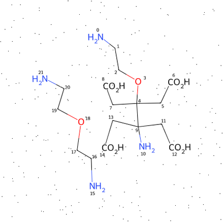 NCCOC(CC(=O)O)(CC(=O)O)C(N)(CC(=O)O)CC(=O)O.NCCOCCN